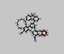 CC1(C)c2ccccc2-c2c(-c3cc4c5c6c(c(C#N)cc5n5c7cc(C#N)c8c(c7c(c3)c45)C3c4ccccc4C8c4ccccc43)CCCCCCCCC6)cccc21